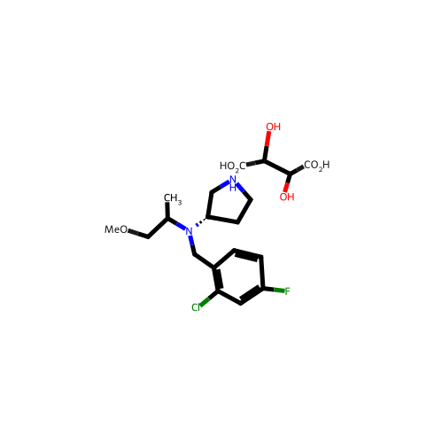 COCC(C)N(Cc1ccc(F)cc1Cl)[C@H]1CCNC1.O=C(O)C(O)C(O)C(=O)O